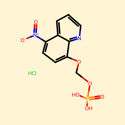 Cl.O=[N+]([O-])c1ccc(OCOP(=O)(O)O)c2ncccc12